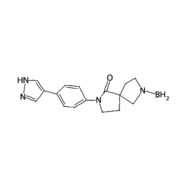 BN1CCC2(CCN(c3ccc(-c4cn[nH]c4)cc3)C2=O)C1